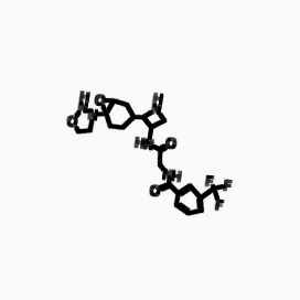 O=C(CNC(=O)c1cccc(C(F)(F)F)c1)NC1CNC1C1CCC2(N3CCON3)OC2C1